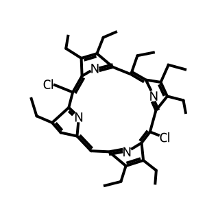 CCC1=CC2=CC3=NC(=C(Cl)C4=NC(=C(CC)C5=NC(=C(Cl)C1=N2)C(CC)=C5CC)C(CC)=C4CC)C(CC)=C3CC